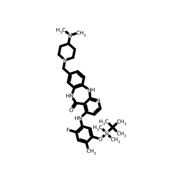 Cc1cc(F)c(Nc2ccnc3c2C(=O)Nc2cc(CN4CCC(N(C)C)CC4)ccc2N3)cc1O[Si](C)(C)C(C)(C)C